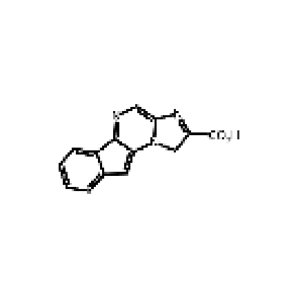 O=C(O)C1=Nc2cnc3c4ccccc4cc-3n2C1